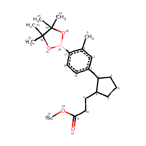 Cc1cc(C2CCCC2CCC(=O)OC(C)(C)C)ccc1B1OC(C)(C)C(C)(C)O1